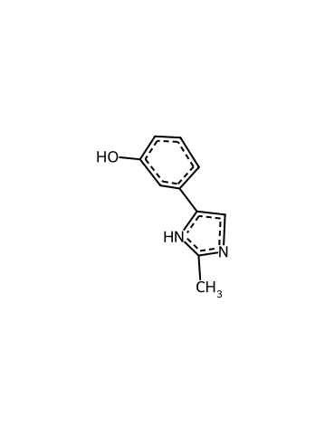 Cc1ncc(-c2cccc(O)c2)[nH]1